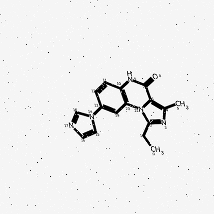 CCc1nc(C)c2c(=O)[nH]c3ccc(-n4ccnc4)cc3n12